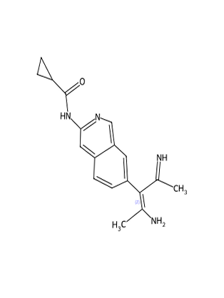 CC(=N)/C(=C(/C)N)c1ccc2cc(NC(=O)C3CC3)ncc2c1